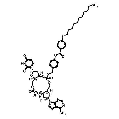 NCCCCCCCCCCOc1ccc(C(=O)Oc2ccc(CSP3(=O)OC[C@H]4O[C@@H](n5cnc6c(N)ncnc65)[C@H](F)[C@@H]4OP(=O)(O)OC[C@H]4O[C@@H](n5ccc(=O)[nH]c5=O)C[C@@H]4O3)cc2)cc1